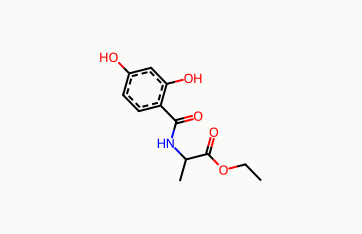 CCOC(=O)C(C)NC(=O)c1ccc(O)cc1O